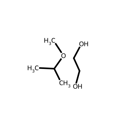 COC(C)C.OCCO